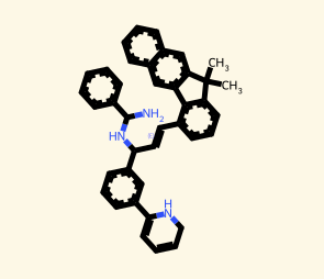 CC1(C)c2cc3ccccc3cc2-c2c(/C=C/C(NC(N)c3ccccc3)c3cccc(C4=CC=CCN4)c3)cccc21